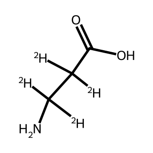 [2H]C([2H])(N)C([2H])([2H])C(=O)O